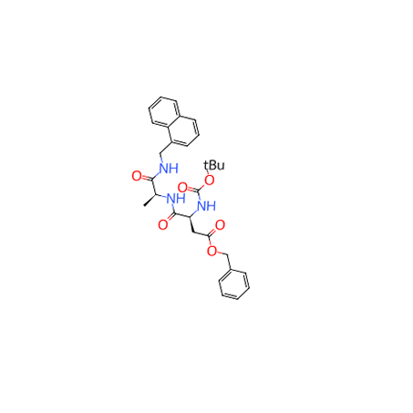 C[C@H](NC(=O)[C@H](CC(=O)OCc1ccccc1)NC(=O)OC(C)(C)C)C(=O)NCc1cccc2ccccc12